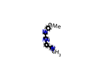 CO[C@H]1CC[C@@H](n2cc(-c3cnc(-c4cccc(-c5cnn(C)c5)c4)nc3)cn2)CC1